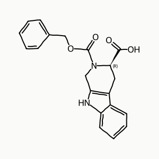 O=C(O)[C@H]1Cc2c([nH]c3ccccc23)CN1C(=O)OCc1ccccc1